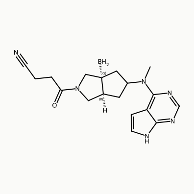 B[C@]12CC(N(C)c3ncnc4[nH]ccc34)C[C@H]1CN(C(=O)CCC#N)C2